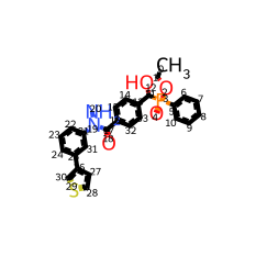 CCOP(=O)(c1ccccc1)C(O)c1ccc(C(=O)N(N)c2cccc(-c3ccsc3)c2)cc1